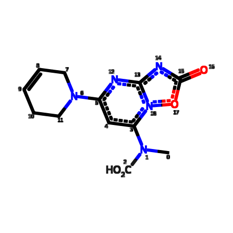 CN(C(=O)O)c1cc(N2CC=CCC2)nc2nc(=O)on12